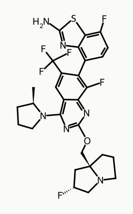 C[C@@H]1CCCN1c1nc(OC[C@@]23CCCN2C[C@H](F)C3)nc2c(F)c(-c3ccc(F)c4sc(N)nc34)c(C(F)(F)F)cc12